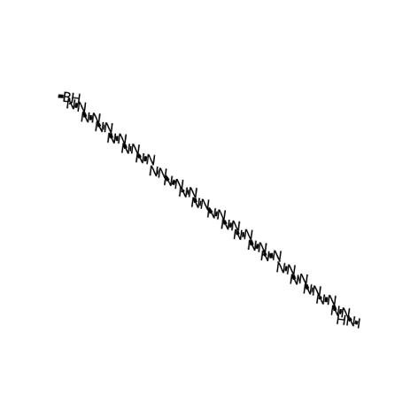 CBN=NN=NN=NN=NN=NN=NN=NN=NN=NN=NN=NN=NN=NN=NN=NN=NN=NN=NN=NN=NNI